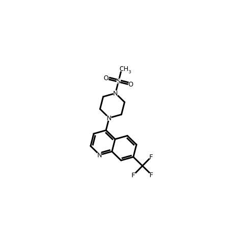 CS(=O)(=O)N1CCN(c2ccnc3cc(C(F)(F)F)ccc23)CC1